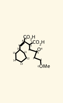 COCCC(=O)CC(C(=O)O)C(=CC1CCCCC1)C(=O)O